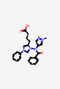 Cn1cc(N(C(=O)c2ccccc2)N2CN(c3ccccc3)C=C2CCCC(=O)O)cn1